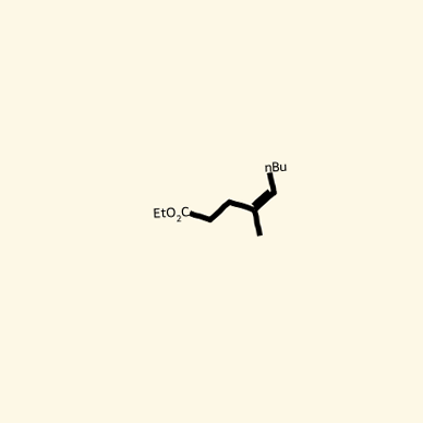 CCCCC=C(C)CCC(=O)OCC